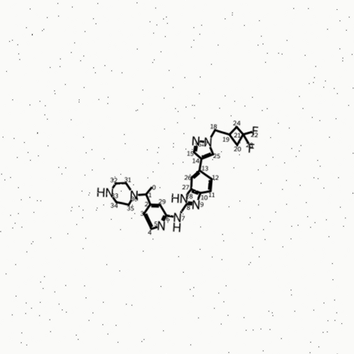 CC(c1ccnc(Nc2nc3ccc(-c4cnn(CC5CC(F)(F)C5)c4)cc3[nH]2)c1)N1CCNCC1